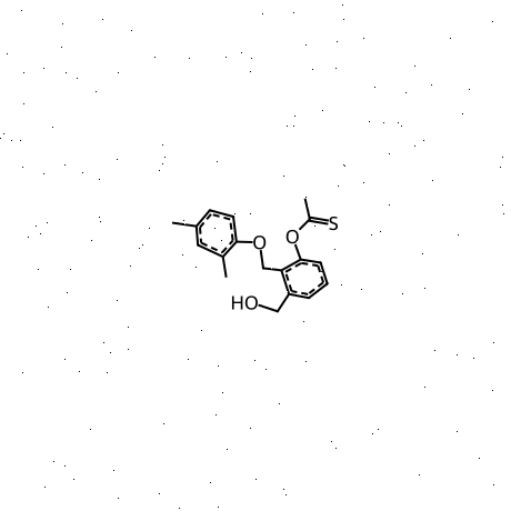 CC(=S)Oc1cccc(CO)c1COc1ccc(C)cc1C